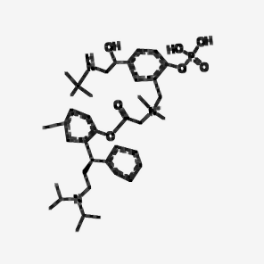 Cc1ccc(OC(=O)C[N+](C)(C)Cc2cc(C(O)CNC(C)(C)C)ccc2OP(=O)(O)O)c([C@H](CCN(C(C)C)C(C)C)c2ccccc2)c1